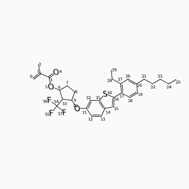 C=C(C)C(=O)OC1CCC(Oc2ccc3cc(-c4ccc(CCCCC)cc4CC)sc3c2)C1C(F)(F)F